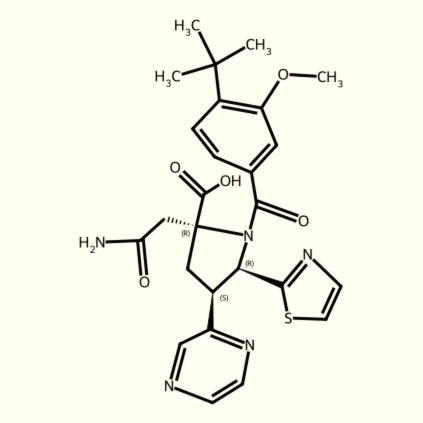 COc1cc(C(=O)N2[C@@H](c3nccs3)[C@@H](c3cnccn3)C[C@@]2(CC(N)=O)C(=O)O)ccc1C(C)(C)C